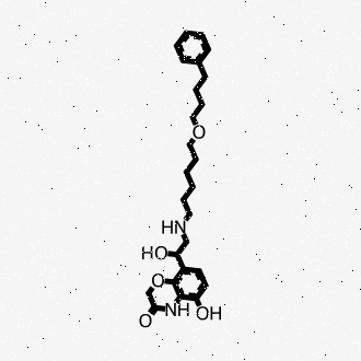 O=C1COc2c(C(O)CNCCCCCCOCCCCc3ccccc3)ccc(O)c2N1